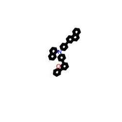 c1ccc2c(N(c3ccc(-c4ccc5c(ccc6ccccc65)c4)cc3)c3ccc(-c4cccc5c4oc4ccccc45)cc3)cccc2c1